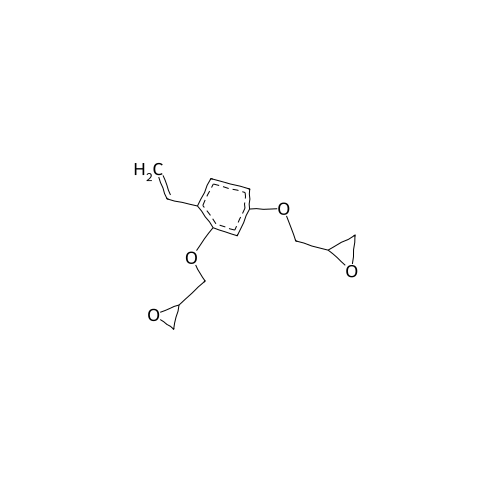 C=Cc1ccc(OCC2CO2)cc1OCC1CO1